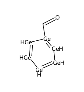 O=[CH][Ge]1=[GeH][GeH]=[GeH][GeH]=[GeH]1